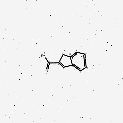 CC(C)C(=O)C1=Cc2ccccc2C1